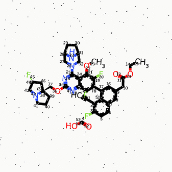 C#Cc1c(F)ccc2cc(CC(=O)OCC)cc(-c3c(F)c(OC)c4c(N5CC6CCC(C5)N6)nc(OC[C@@]56CCCN5C[C@H](F)C6)nc4c3F)c12.O=CO